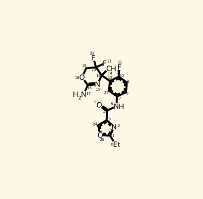 CCc1nc(C(=O)Nc2ccc(F)c(C3(C)N=C(N)OCC3(F)F)c2)co1